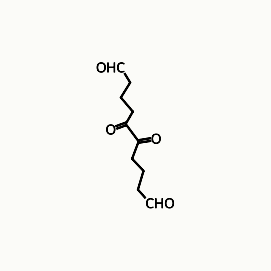 O=CCCCC(=O)C(=O)CCCC=O